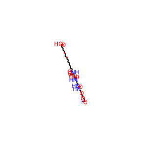 O=C(O)CCCCCCCCCCCCCCCCC(=O)N[C@@H](CCC(=O)NCCCNC(=O)NCCOCCOCC(=O)I)C(=O)O